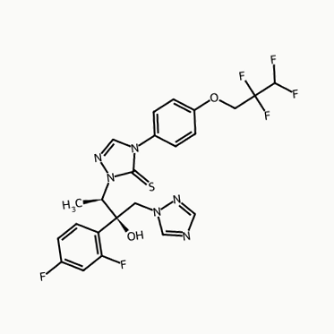 C[C@@H](n1ncn(-c2ccc(OCC(F)(F)C(F)F)cc2)c1=S)[C@](O)(Cn1cncn1)c1ccc(F)cc1F